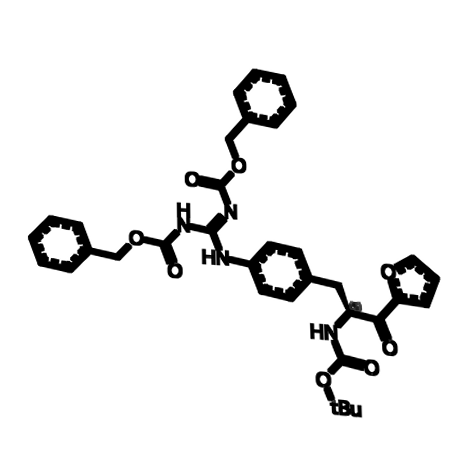 CC(C)(C)OC(=O)N[C@@H](Cc1ccc(NC(=NC(=O)OCc2ccccc2)NC(=O)OCc2ccccc2)cc1)C(=O)c1ccco1